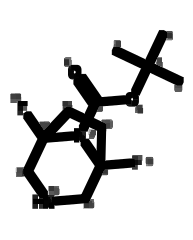 CC(C)(C)OC(=O)N1C2(F)CCC1(F)CNC2